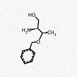 C[C@@H](OCc1ccccc1)[C@@H](N)CO